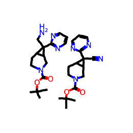 CC(C)(C)OC(=O)N1CCC2C(C1)C2(C#N)c1ncccn1.CC(C)(C)OC(=O)N1CCC2C(C1)C2(CN)c1ncccn1